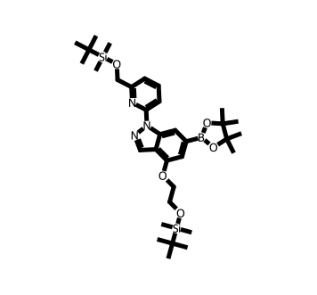 CC1(C)OB(c2cc(OCCO[Si](C)(C)C(C)(C)C)c3cnn(-c4cccc(CO[Si](C)(C)C(C)(C)C)n4)c3c2)OC1(C)C